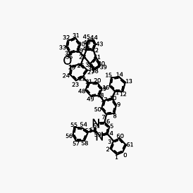 c1ccc(-c2cc(-c3ccc(-c4ccccc4)c(-c4ccc(-c5ccc6c(c5)C5(c7ccccc7O6)c6ccccc6-c6ccccc65)cc4)c3)nc(-c3ccccc3)n2)cc1